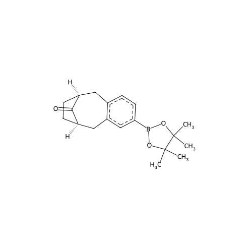 CC1(C)OB(c2ccc3c(c2)C[C@H]2CC[C@@H](C3)C2=O)OC1(C)C